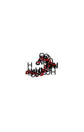 CC[C@@]1(OC(=O)[C@@H](NC(=O)[C@H](Cc2cnc[nH]2)NC(=S)Nc2cccc(C(CC(=O)O)NS(=O)(=O)c3cccc(-c4cccc(NC(=O)Nc5nc6ccccc6[nH]5)c4)c3)c2)C(C)C)C(=O)OCc2c1cc1n(c2=O)Cc2cc3ccccc3nc2-1